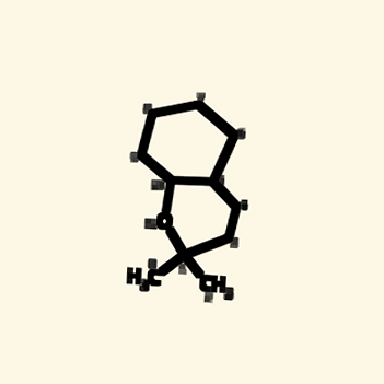 CC1(C)CCC2CCCCC2O1